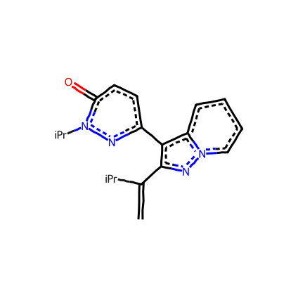 C=C(c1nn2ccccc2c1-c1ccc(=O)n(C(C)C)n1)C(C)C